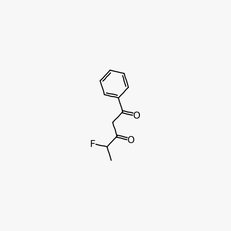 CC(F)C(=O)CC(=O)c1ccccc1